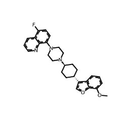 COc1cccc2c1occ2[C@H]1CC[C@H](N2CCN(c3ccc(F)c4cccnc34)CC2)CC1